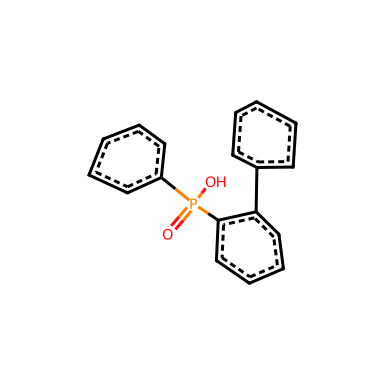 O=P(O)(c1ccccc1)c1ccccc1-c1ccccc1